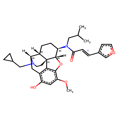 COc1cc(O)c2c3c1O[C@H]1[C@H](N(CC(C)C)C(=O)/C=C/c4ccoc4)CC[C@H]4[C@@H](C2)N(CC2CC2)CC[C@@]341